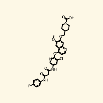 COc1cc2c(Oc3ncc(NC(=O)CC(=O)Nc4ccc(F)cc4)cc3Cl)ccnc2cc1OCC1CCN(C(=O)O)CC1